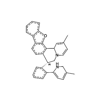 CC1=CC2c3c(ccc4c3oc3ccccc34)[C@@H](c3ccccc3C3=CC=C(C)CN3)CN2C=C1